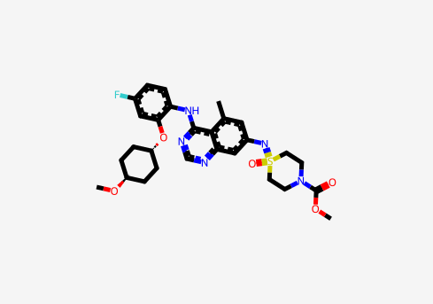 COC(=O)N1CCS(=O)(=Nc2cc(C)c3c(Nc4ccc(F)cc4O[C@H]4CC[C@H](OC)CC4)ncnc3c2)CC1